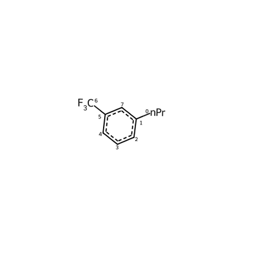 C[CH]Cc1cccc(C(F)(F)F)c1